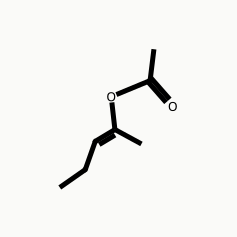 CC/C=C(\C)OC(C)=O